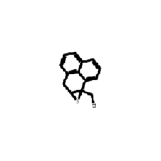 ClCC12SC1Cc1cccc3cccc2c13